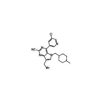 CC(C)Cc1cn(CC2CCC(C)CC2)c2c(-c3cncc(Cl)c3)nc(C#N)nc12